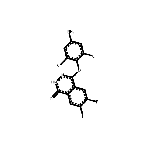 Nc1cc(Cl)c(Oc2n[nH]c(=O)c3cc(F)c(F)cc23)c(Cl)c1